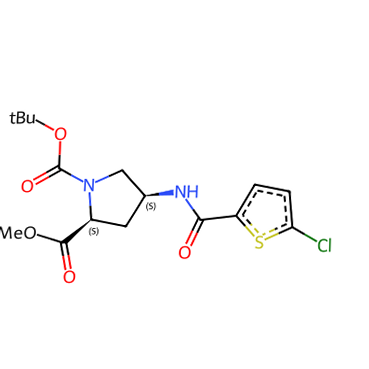 COC(=O)[C@@H]1C[C@H](NC(=O)c2ccc(Cl)s2)CN1C(=O)OC(C)(C)C